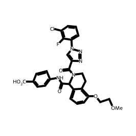 COCCOc1cccc2c1CCN(C(=O)c1cn(-c3cccc(Cl)c3F)nn1)C2C(=O)Nc1ccc(C(=O)O)cc1